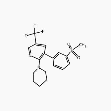 CS(=O)(=O)c1cccc(-c2cc(C(F)(F)F)cnc2N2CCCCC2)c1